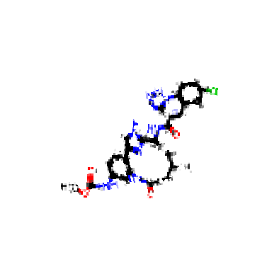 COC(=O)Nc1ccc2c(c1)NC(=O)CCC(C)CCC(NC(=O)/C=C/c1cc(Cl)ccc1-n1cnnn1)c1nc-2c[nH]1